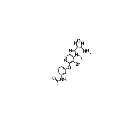 CCn1c(-c2nonc2N)nc2cnc(Oc3cccc(NC(C)=O)c3)c(Br)c21